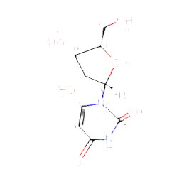 [2H][C@]1(n2ccc(=O)[nH]c2=O)O[C@H](CO)[C@@H](O)[C@H]1O